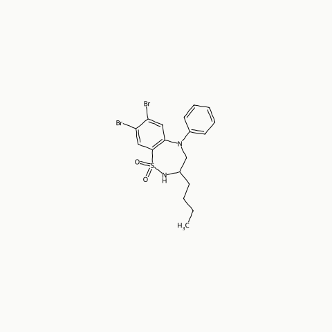 CCCCC1CN(c2ccccc2)c2cc(Br)c(Br)cc2S(=O)(=O)N1